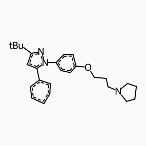 CC(C)(C)c1cc(-c2ccccc2)n(-c2ccc(OCCCN3CCCC3)cc2)n1